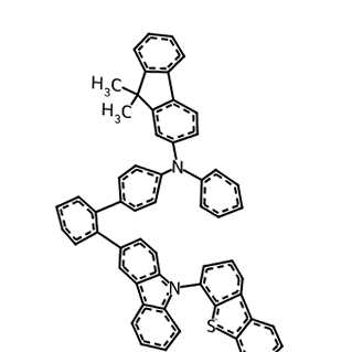 CC1(C)c2ccccc2-c2ccc(N(c3ccccc3)c3ccc(-c4ccccc4-c4ccc5c(c4)c4ccccc4n5-c4cccc5c4sc4ccccc45)cc3)cc21